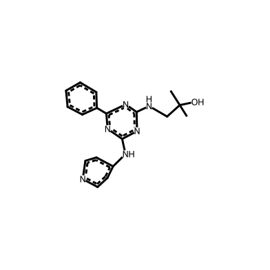 CC(C)(O)CNc1nc(Nc2ccncc2)nc(-c2ccccc2)n1